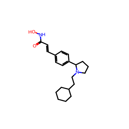 O=C(C=Cc1ccc(C2CCCN2CCC2CCCCC2)cc1)NO